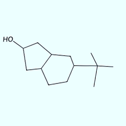 CC(C)(C)C1CCC2CC(O)CC2C1